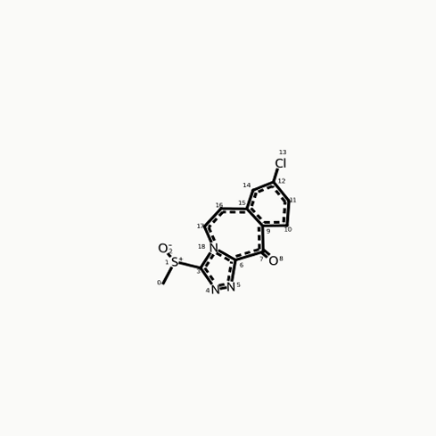 C[S+]([O-])c1nnc2c(=O)c3ccc(Cl)cc3ccn12